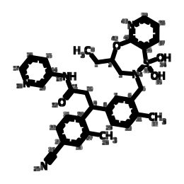 CCC1CN(Cc2cc(C(CC(=O)Nc3cccnc3)c3ccc(C#N)cc3C)ccc2C)S(O)(O)c2cccnc2O1